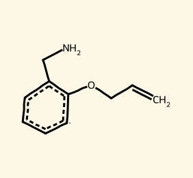 C=CCOc1[c]cccc1CN